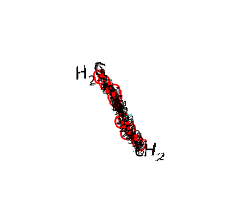 C=CC(=O)COc1ccc(C(=O)Oc2ccc(CCOC(=O)c3ccc(OC(=O)c4ccc(OCC(=O)C=C)cc4)cc3F)cc2)cc1